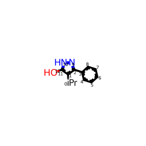 CC(C)c1c(-c2ccccc2)n[nH]c1O